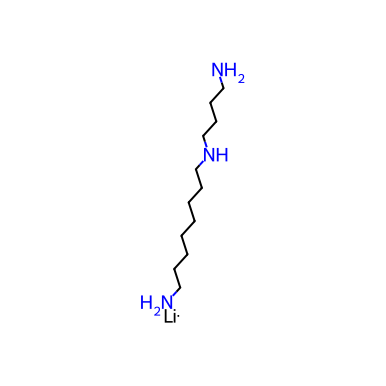 NCCCCCCCCNCCCCN.[Li]